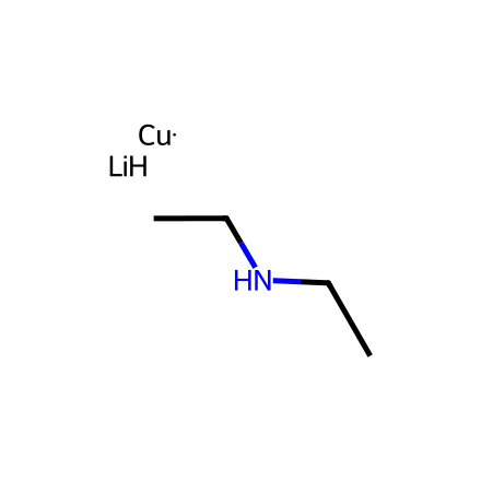 CCNCC.[Cu].[LiH]